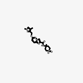 Cc1cn(C)nc1COc1ccc2nc(C(=O)NC3(C)CCS(=O)(=O)CC3)cn2n1